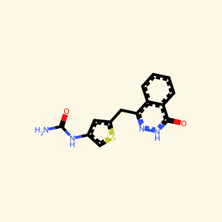 NC(=O)Nc1csc(Cc2n[nH]c(=O)c3ccccc23)c1